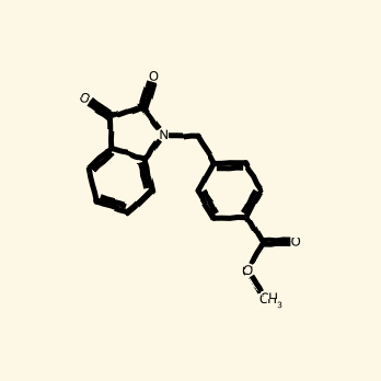 COC(=O)c1ccc(CN2C(=O)C(=O)c3ccccc32)cc1